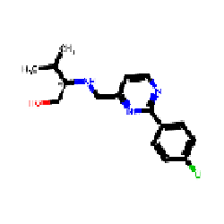 CC(C)[C@H](CO)NCc1ccnc(-c2ccc(Cl)cc2)n1